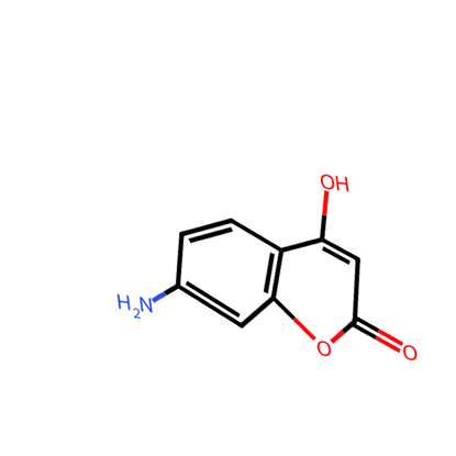 Nc1ccc2c(O)cc(=O)oc2c1